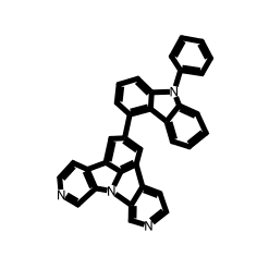 c1ccc(-n2c3ccccc3c3c(-c4cc5c6ccncc6n6c7cnccc7c(c4)c56)cccc32)cc1